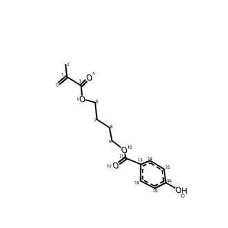 C=C(C)C(=O)OCCCCOC(=O)c1ccc(O)cc1